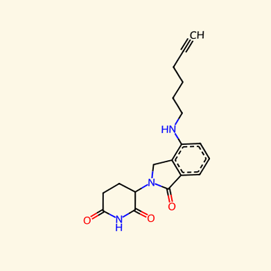 C#CCCCCNc1cccc2c1CN(C1CCC(=O)NC1=O)C2=O